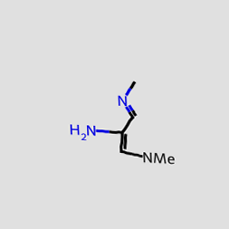 CN=C/C(N)=C\NC